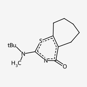 CN(c1nc(=O)c2c(s1)CCCCC2)C(C)(C)C